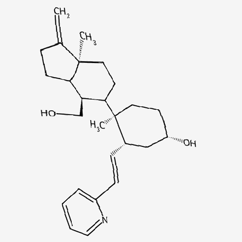 C=C1CCC2[C@H](CO)C([C@@]3(C)CC[C@H](O)C[C@@H]3/C=C/c3ccccn3)CC[C@]12C